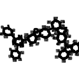 c1ccc(-c2nc(-c3ccccc3)nc(-c3ccc4c(c3)oc3cc(-c5cccc6sc7cc(-n8c9ccccc9c9ccccc98)ccc7c56)ccc34)n2)cc1